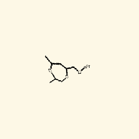 CCCOCC1CC(C)OC(C)CO1